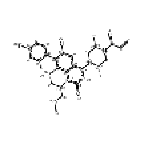 C=CC(=O)N1C[C@H](C)N(c2nc(=O)n3c4c(c(-c5ccc(F)cc5F)c(Cl)cc24)SC[C@@H]3COC)C[C@H]1C